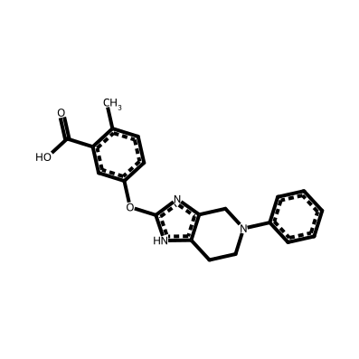 Cc1ccc(Oc2nc3c([nH]2)CCN(c2ccccc2)C3)cc1C(=O)O